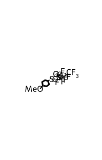 COc1ccc(SOS(=O)(=O)C(F)(F)C(F)(F)C(F)(F)C(F)(F)F)cc1